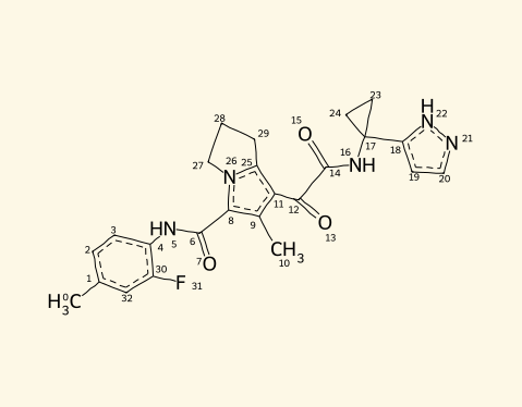 Cc1ccc(NC(=O)c2c(C)c(C(=O)C(=O)NC3(c4ccn[nH]4)CC3)c3n2CCC3)c(F)c1